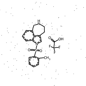 Cc1ccccc1S(=O)(=O)n1cc2c3c(cccc31)CNCC2.O=C(O)C(F)(F)F